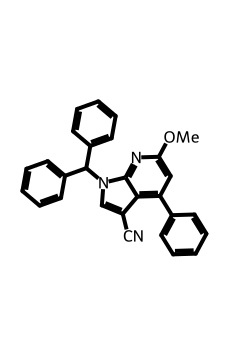 COc1cc(-c2ccccc2)c2c(C#N)cn(C(c3ccccc3)c3ccccc3)c2n1